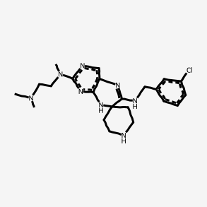 CN(C)CCN(C)c1ncc2c(n1)NC1(CCNCC1)C(NCc1cccc(Cl)c1)=N2